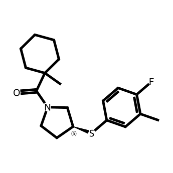 Cc1cc(S[C@H]2CCN(C(=O)C3(C)CCCCC3)C2)ccc1F